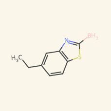 Bc1nc2cc(CC)ccc2s1